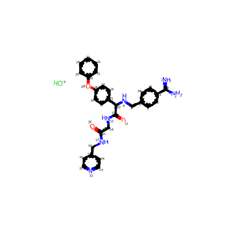 Cl.N=C(N)c1ccc(CNC(C(=O)NCC(=O)NCc2ccncc2)c2ccc(Oc3ccccc3)cc2)cc1